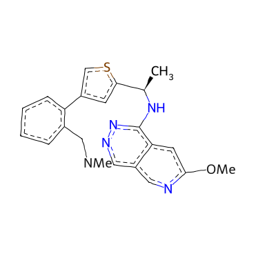 CNCc1ccccc1-c1csc([C@@H](C)Nc2nncc3cnc(OC)cc23)c1